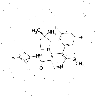 COc1ncc(C(=O)NC23CC(F)(C2)C3)c(N2CC[C@](C)(N)C2)c1-c1cc(F)cc(F)c1